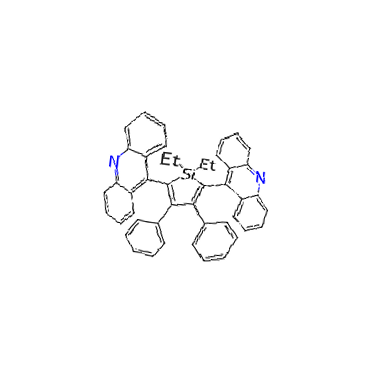 CC[Si]1(CC)C(c2c3ccccc3nc3ccccc23)=C(c2ccccc2)C(c2ccccc2)=C1c1c2ccccc2nc2ccccc12